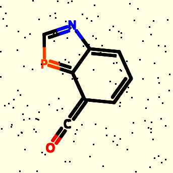 O=C=c1cccc2c1=PC=N2